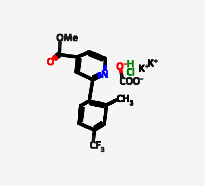 COC(=O)c1ccnc(-c2ccc(C(F)(F)F)cc2C)c1.Cl.O=C([O-])[O-].[K+].[K+]